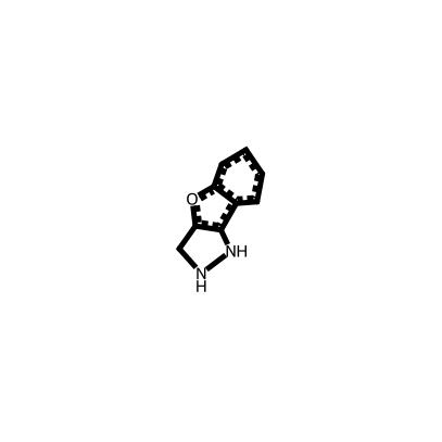 c1ccc2c3c(oc2c1)CNN3